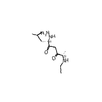 CCN[C@@H](C)C(=O)CC(=O)[C@H](CC(C)C)NN